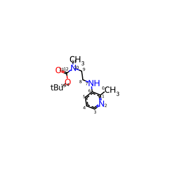 Cc1ncccc1NCCN(C)C(=O)OC(C)(C)C